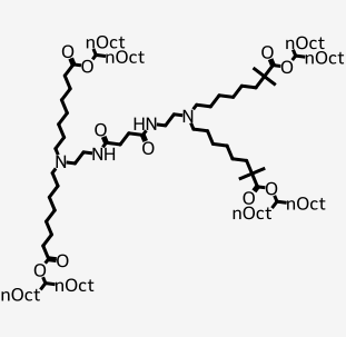 CCCCCCCCC(CCCCCCCC)OC(=O)CCCCCCCN(CCCCCCCC(=O)OC(CCCCCCCC)CCCCCCCC)CCNC(=O)CCC(=O)NCCN(CCCCCCC(C)(C)C(=O)OC(CCCCCCCC)CCCCCCCC)CCCCCCC(C)(C)C(=O)OC(CCCCCCCC)CCCCCCCC